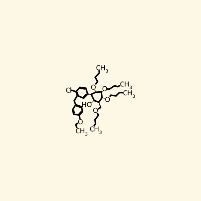 CCCCOC[C@H]1[C@H](O)[C@@H](c2ccc(Cl)c(Cc3ccc(OCC)cc3)c2)[C@H](OCCCC)[C@@H](OCCCC)[C@@H]1OCCCC